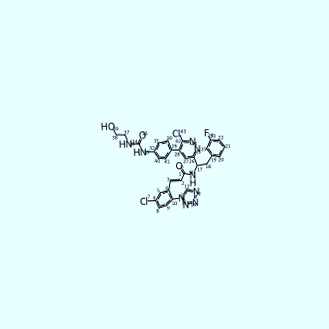 O=C(/C=C/c1cc(Cl)ccc1-n1cnnn1)NC(Cc1cccc(F)c1)c1cc(-c2ccc(NC(=O)NCCO)cc2)c(Cl)nn1